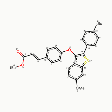 COc1ccc2c(Oc3ccc(C=CC(=O)OC(C)(C)C)cc3)c(-c3ccc(C(C)(C)C)cc3)sc2c1